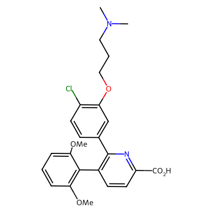 COc1cccc(OC)c1-c1ccc(C(=O)O)nc1-c1ccc(Cl)c(OCCCN(C)C)c1